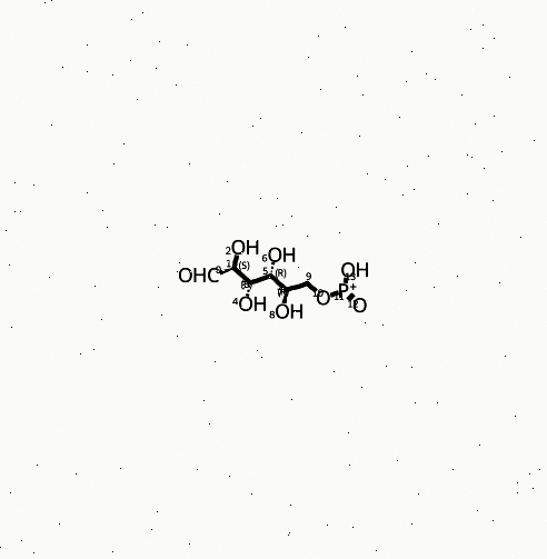 O=C[C@@H](O)[C@@H](O)[C@H](O)[C@H](O)CO[P+](=O)O